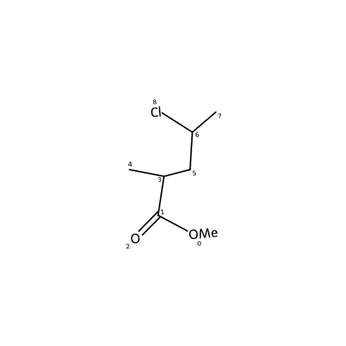 COC(=O)C(C)CC(C)Cl